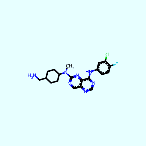 CN(c1ncc2ncnc(Nc3ccc(F)c(Cl)c3)c2n1)C1CCC(CN)CC1